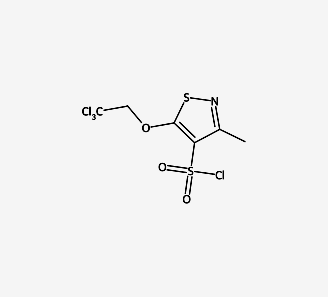 Cc1nsc(OCC(Cl)(Cl)Cl)c1S(=O)(=O)Cl